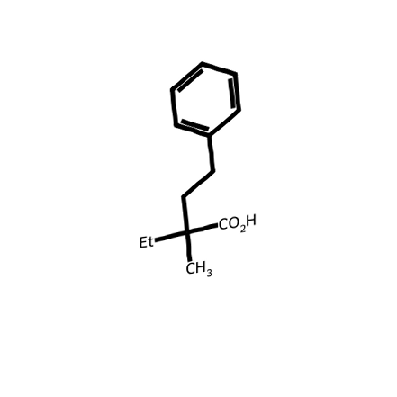 CCC(C)(CCc1ccccc1)C(=O)O